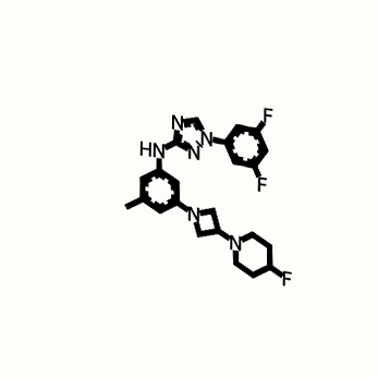 Cc1cc(Nc2ncn(-c3cc(F)cc(F)c3)n2)cc(N2CC(N3CCC(F)CC3)C2)c1